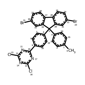 Cc1ccc(C2(c3ccc(-c4nc(Cl)nc(Cl)n4)cc3)c3cc(Br)ccc3-c3ccc(Br)cc32)cc1